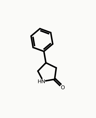 O=C1C[C](c2ccccc2)CN1